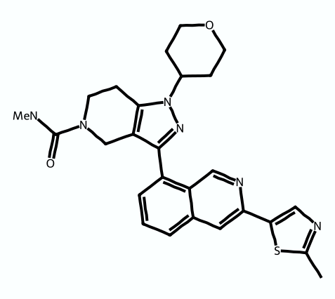 CNC(=O)N1CCc2c(c(-c3cccc4cc(-c5cnc(C)s5)ncc34)nn2C2CCOCC2)C1